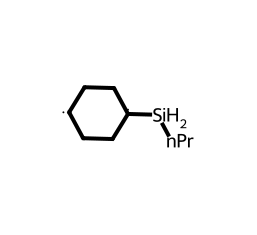 CCC[SiH2][C]1CC[CH]CC1